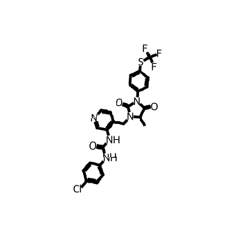 CC1C(=O)N(c2ccc(SC(F)(F)F)cc2)C(=O)N1Cc1ccncc1NC(=O)Nc1ccc(Cl)cc1